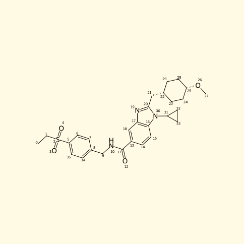 CCS(=O)(=O)c1ccc(CNC(=O)c2ccc3c(c2)nc(C[C@H]2CC[C@@H](OC)CC2)n3C2CC2)cc1